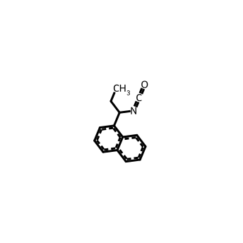 CCC(N=C=O)c1cccc2ccccc12